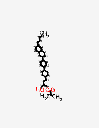 C=C(C)C(=O)OCC(CO)CCC1CCC(C2CCC(C3CCC4C=C(CCCCC)C=CC4C3)CC2)CC1